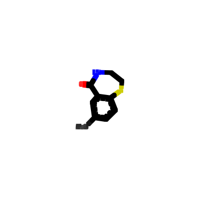 COc1ccc2c(c1)C(=O)NCCS2